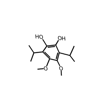 COc1c(OC)c(C(C)C)c(O)c(O)c1C(C)C